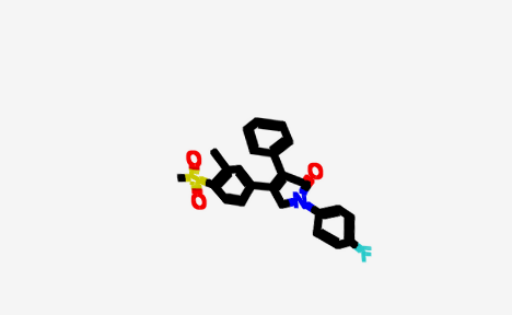 Cc1cc(C2=C(c3ccccc3)C(=O)N(c3ccc(F)cc3)C2)ccc1S(C)(=O)=O